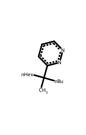 CCCCCCC(C)(CCCC)c1cccnn1